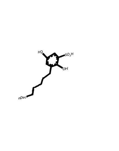 CCCCCCCCCCCCCCCc1cc(O)cc(S(=O)(=O)O)c1O